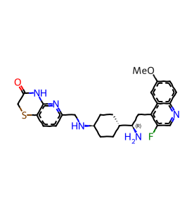 COc1ccc2ncc(F)c(C[C@@H](N)[C@H]3CC[C@H](NCc4ccc5c(n4)NC(=O)CS5)CC3)c2c1